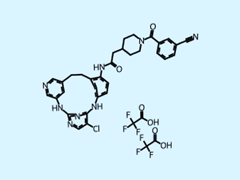 N#Cc1cccc(C(=O)N2CCC(CC(=O)Nc3ccc4cc3CCc3cncc(c3)Nc3ncc(Cl)c(n3)N4)CC2)c1.O=C(O)C(F)(F)F.O=C(O)C(F)(F)F